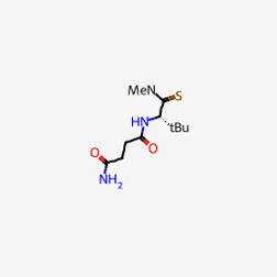 CNC(=S)[C@@H](NC(=O)CCC(N)=O)C(C)(C)C